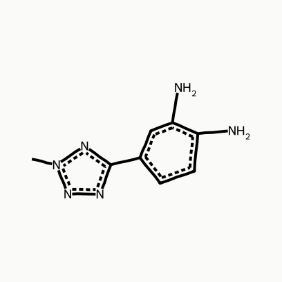 Cn1nnc(-c2ccc(N)c(N)c2)n1